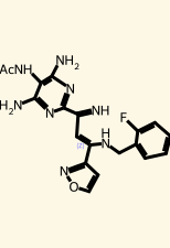 CC(=O)Nc1c(N)nc(C(=N)/C=C(\NCc2ccccc2F)c2ccon2)nc1N